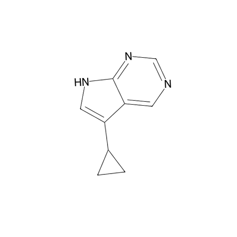 c1ncc2c(C3CC3)c[nH]c2n1